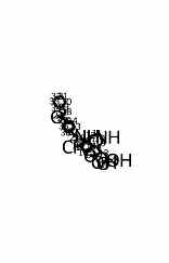 O=C(O)CC(C(=O)O)C1CNCCc2c1ccc(Cl)c2NCc1ccc(C(=O)CC2CCCCC2)cc1